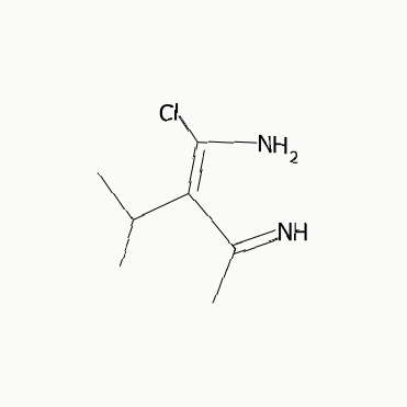 CC(=N)/C(=C(\N)Cl)C(C)C